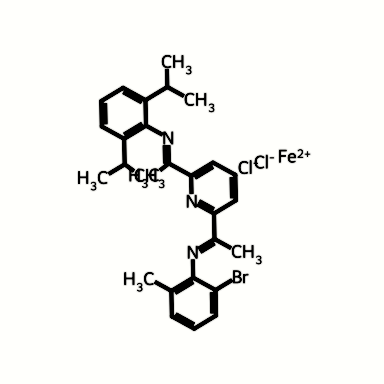 C/C(=N\c1c(C)cccc1Br)c1cccc(/C(C)=N/c2c(C(C)C)cccc2C(C)C)n1.[Cl-].[Cl-].[Fe+2]